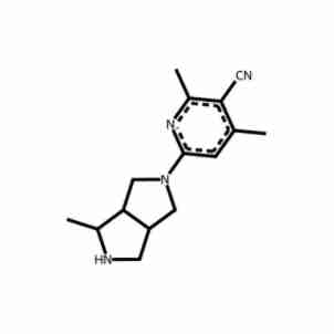 Cc1cc(N2CC3CNC(C)C3C2)nc(C)c1C#N